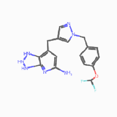 Nc1cc(Cc2cnn(Cc3ccc(OC(F)F)cc3)c2)c2c(n1)NNN2